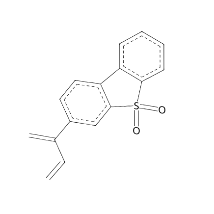 C=CC(=C)c1ccc2c(c1)S(=O)(=O)c1ccccc1-2